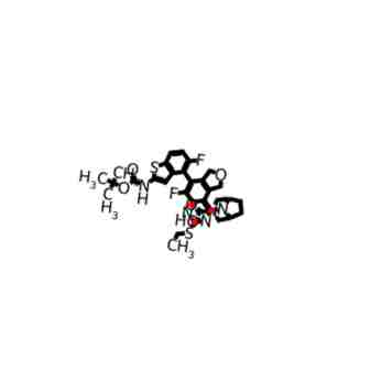 CCSc1nc(N2C3CCC2CN(C(=O)O)C3)c2c3c(c(-c4c(F)ccc5sc(NC(=O)OC(C)(C)C)cc45)c(F)c2n1)COC3